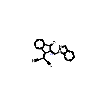 N#CC(C#N)=C1/C(=C/n2ncc3ccccc32)C(=O)c2ccccc21